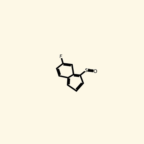 O=[S+]c1cccc2ccc(F)cc12